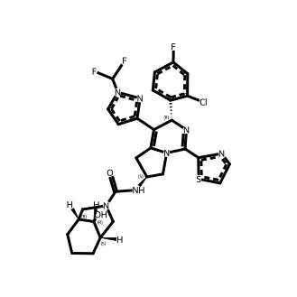 O=C(N[C@H]1CC2=C(c3ccn(C(F)F)n3)[C@H](c3ccc(F)cc3Cl)N=C(c3nccs3)N2C1)N1C[C@H]2CCC[C@@H](C1)[C@H]2O